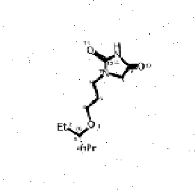 CCC[C@H](CC)OCCCN1CC(=O)NC1=O